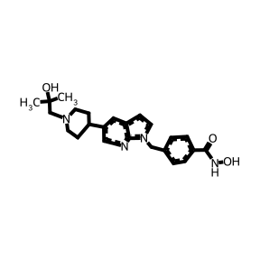 CC(C)(O)CN1CCC(c2cnc3c(ccn3Cc3ccc(C(=O)NO)cc3)c2)CC1